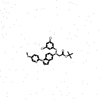 CSc1ccc(-n2ccc3cc(N(CC(=O)OC(C)(C)C)Sc4cc(Cl)cc(Cl)c4)ccc32)nc1